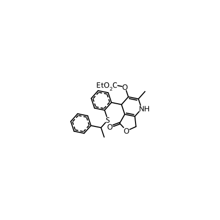 CCOC(=O)OC1=C(C)NC2=C(C(=O)OC2)C1c1ccccc1SC(C)c1ccccc1